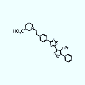 CCCc1c(-c2nc(-c3ccc(CCN4CCCC(C(=O)O)C4)cc3)no2)noc1-c1ccccc1